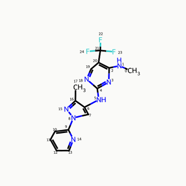 CNc1nc(Nc2cn(-c3ccccn3)nc2C)ncc1C(F)(F)F